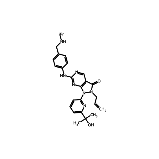 C=CCn1c(=O)c2cnc(Nc3ccc(CNC(C)C)cc3)nc2n1-c1cccc(C(C)(C)O)n1